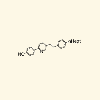 CCCCCCCc1ccc(CCc2ccc(-c3ccc(C#N)cc3)nc2)cc1